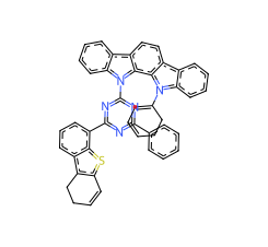 C1=CCCC(n2c3ccccc3c3ccc4c5ccccc5n(-c5nc(-c6ccccc6)nc(-c6cccc7c8c(sc67)C=CCC8)n5)c4c32)=C1